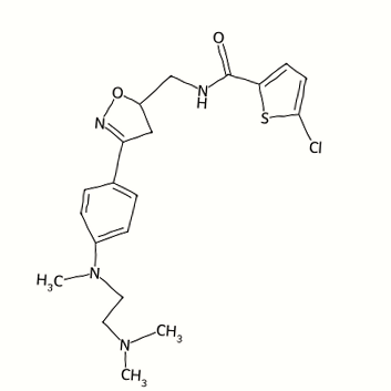 CN(C)CCN(C)c1ccc(C2=NOC(CNC(=O)c3ccc(Cl)s3)C2)cc1